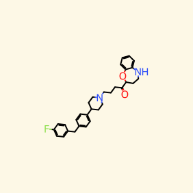 O=C(CCCN1CCC(c2ccc(Cc3ccc(F)cc3)cc2)CC1)C1CCNc2ccccc2O1